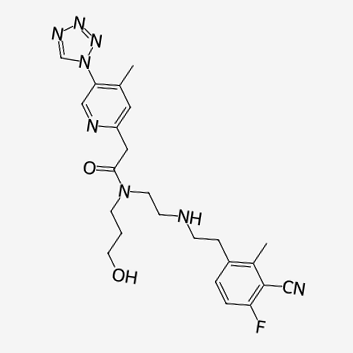 Cc1cc(CC(=O)N(CCCO)CCNCCc2ccc(F)c(C#N)c2C)ncc1-n1cnnn1